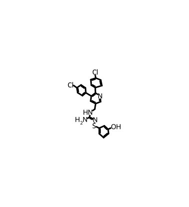 N/C(=N\Sc1cccc(O)c1)NCc1cnc(-c2ccc(Cl)cc2)c(-c2ccc(Cl)cc2)c1